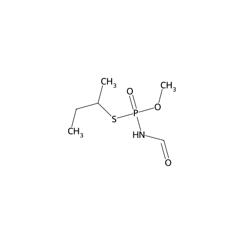 CCC(C)SP(=O)(NC=O)OC